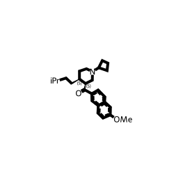 COc1ccc2cc(C(=O)[C@@H]3CN(C4CCC4)CC[C@@H]3CCC(C)C)ccc2c1